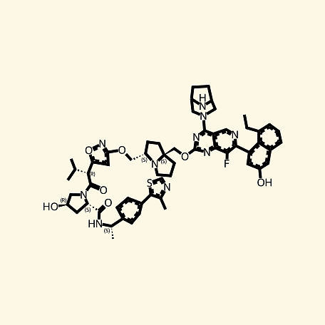 CCc1cccc2cc(O)cc(-c3ncc4c(N5CC6CCC(C5)N6)nc(OC[C@@]56CCCN5[C@H](COc5cc([C@H](C(=O)N7C[C@H](O)C[C@H]7C(=O)N[C@@H](C)c7ccc(-c8scnc8C)cc7)C(C)C)on5)CC6)nc4c3F)c12